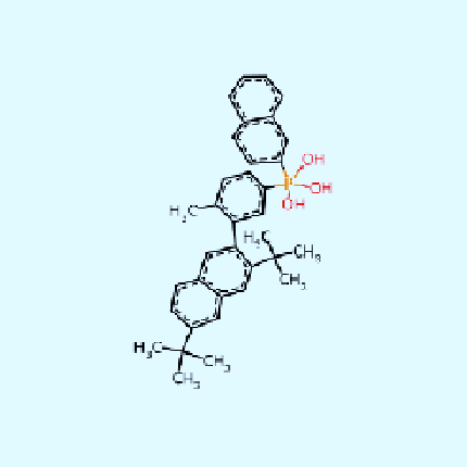 Cc1ccc(P(O)(O)(O)c2ccc3ccccc3c2)cc1-c1cc2ccc(C(C)(C)C)cc2cc1C(C)(C)C